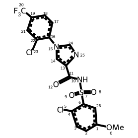 COc1ccc(Cl)c(S(=O)(=O)NC(=O)c2cn(-c3ccc(C(F)(F)F)cc3Cl)cn2)c1